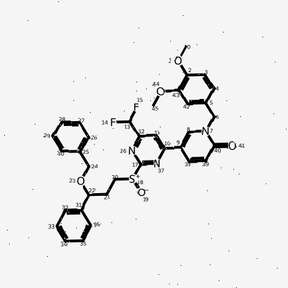 COc1ccc(Cn2cc(-c3cc(C(F)F)nc([S+]([O-])CCC(OCc4ccccc4)c4ccccc4)n3)ccc2=O)cc1OC